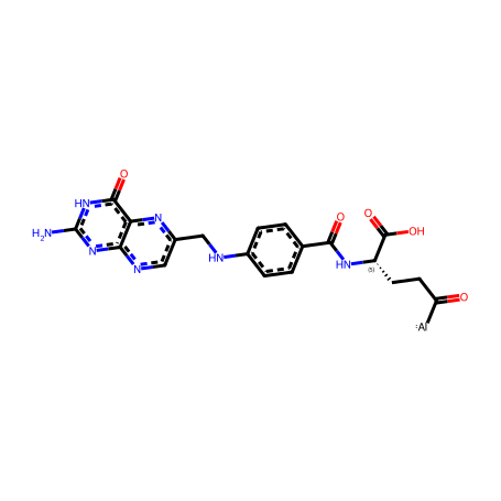 Nc1nc2ncc(CNc3ccc(C(=O)N[C@@H](CC[C](=O)[Al])C(=O)O)cc3)nc2c(=O)[nH]1